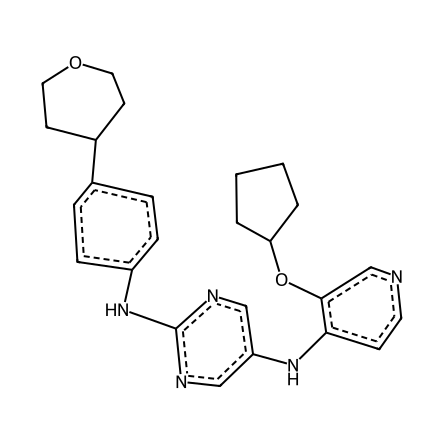 c1cc(Nc2cnc(Nc3ccc(C4CCOCC4)cc3)nc2)c(OC2CCCC2)cn1